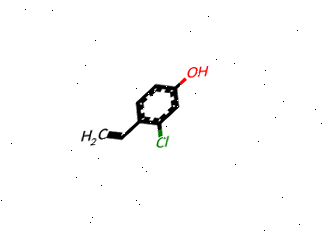 C=Cc1ccc(O)cc1Cl